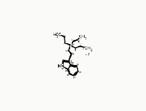 CCC[N+](CCC)(CCC)CCc1c[nH]c2ccccc12.[I-]